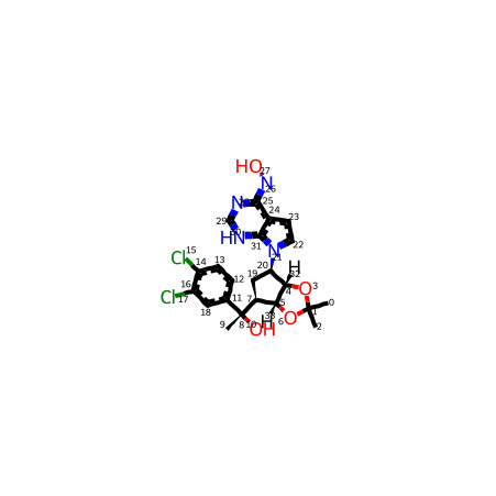 CC1(C)O[C@@H]2[C@H](O1)[C@@H]([C@](C)(O)c1ccc(Cl)c(Cl)c1)C[C@H]2n1ccc2c(=NO)nc[nH]c21